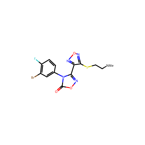 CNCCSc1nonc1-c1noc(=O)n1-c1ccc(F)c(Br)c1